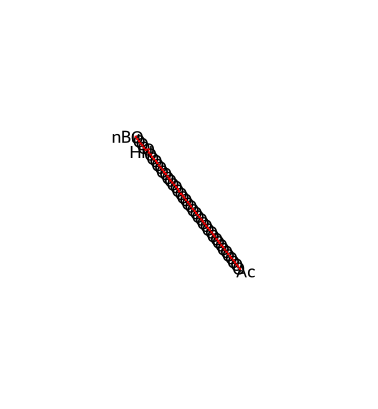 CCCCOCCOCCOCCOCCC(=O)NCCOCCOCCOCCOCCOCCOCCOCCOCCOCCOCCOCCOCCOCCOCCOCCOCCOCCOCCOCCOCCOCCOCCOCCOCCOCCOCCOCCOCCOCCOCCOCCOCCOCCOCCOCCOCCC(C)=O